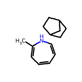 C1CC2CCC1C2.CC1=CC=CC=CN1